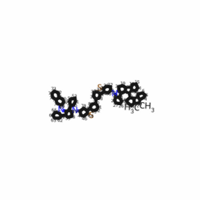 CC1(C)c2ccccc2-c2c(C3c4ccccc4-c4ccc5c(c43)c3ccccc3n5-c3ccc4sc5ccc(-c6ccc7sc8ccc(-n9c%10ccccc%10c%10c9ccc9c%11ccccc%11n(-c%11ccc%12ccccc%12c%11)c9%10)cc8c7c6)cc5c4c3)cccc21